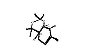 CC1=CC[C@H]2[C@H](OC(C)(C)OC2(C)C)[C@H]1Br